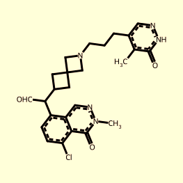 Cc1c(CCCN2CC3(CC(C(C=O)c4ccc(Cl)c5c(=O)n(C)ncc45)C3)C2)cn[nH]c1=O